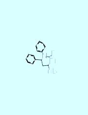 CCCCC(CC)CC(c1ccccc1)N(CF)c1ccccc1